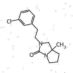 CC12CCCN1C(=O)N(CCc1cccc(Cl)c1)C2